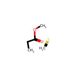 C=S.CCC(=O)OC